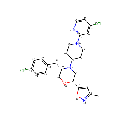 Cc1cc([C@H]2CN(C3CCN(c4cc(Cl)ccn4)CC3)[C@@H](Cc3ccc(Cl)cc3)CO2)on1